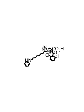 O=C(N[C@@H](Cn1cc(CCCCCCCNc2ccccc2)nn1)C(=O)O)c1c(Cl)cccc1Cl